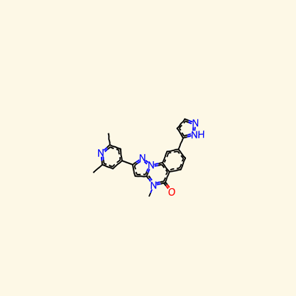 Cc1cc(-c2cc3n(C)c(=O)c4ccc(-c5ccn[nH]5)cc4n3n2)cc(C)n1